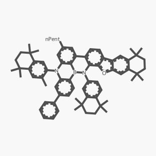 CCCCCc1cc2c3c(c1)N(c1cc4c(cc1C)C(C)(C)CCC4(C)C)c1cc(-c4ccccc4)ccc1B3N(c1ccc3c(c1)C(C)(C)CCC3(C)C)c1c-2ccc2c1oc1cc3c(cc12)C(C)(C)CCC3(C)C